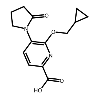 O=C(O)c1ccc(N2CCCC2=O)c(OCC2CC2)n1